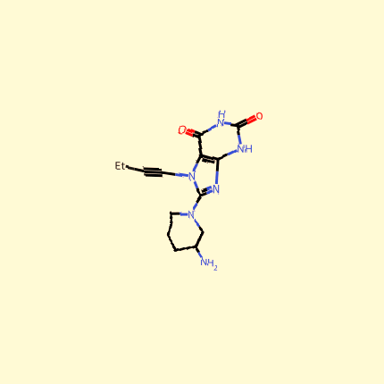 CCC#Cn1c(N2CCCC(N)C2)nc2[nH]c(=O)[nH]c(=O)c21